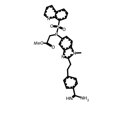 COC(=O)CN(c1ccc2c(c1)nc(CCc1ccc(C(=N)N)cc1)n2C)S(=O)(=O)c1cccc2cccnc12